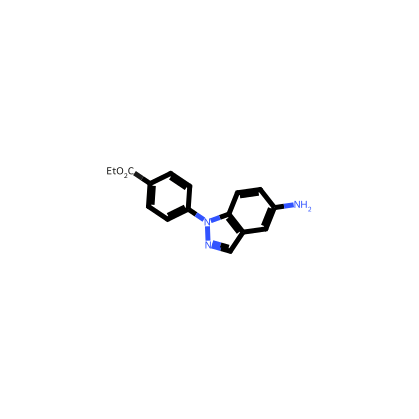 CCOC(=O)c1ccc(-n2ncc3cc(N)ccc32)cc1